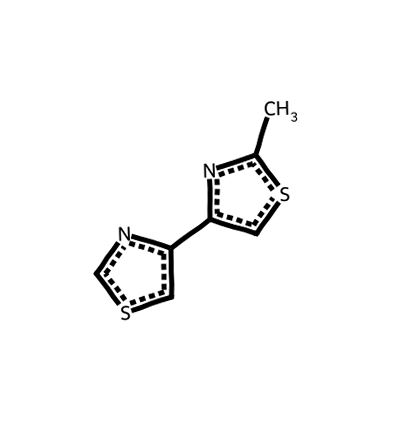 Cc1nc(-c2cscn2)cs1